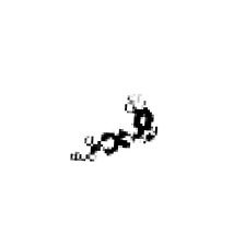 CC(C)(C)OC(=O)N1CCC2(CC1)CN(c1ncnc3ccc(OC(F)(F)F)cc13)C2